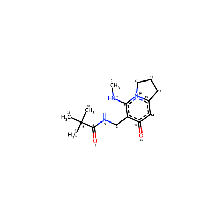 CNc1c(CNC(=O)C(C)(C)C)c(=O)cc2n1CCC2